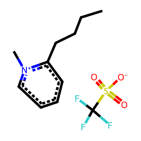 CCCCc1cccc[n+]1C.O=S(=O)([O-])C(F)(F)F